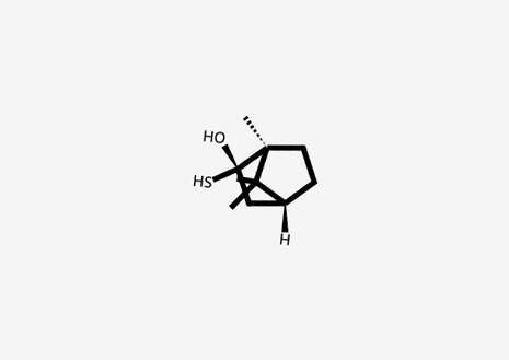 CC1(C)[C@@H]2CC[C@]1(C)[C@@](O)(S)C2